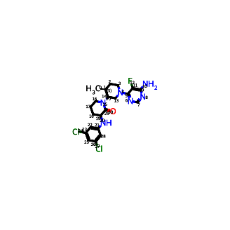 C[C@H]1CCN(c2ncnc(N)c2F)C[C@@H]1N1CCCC(Nc2cc(Cl)cc(Cl)c2)C1=O